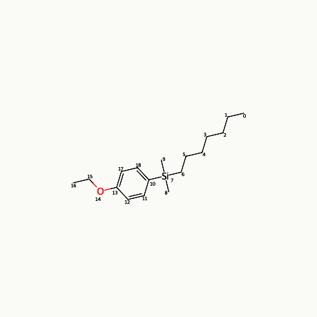 CCCCCCC[Si](C)(C)c1ccc(OCC)cc1